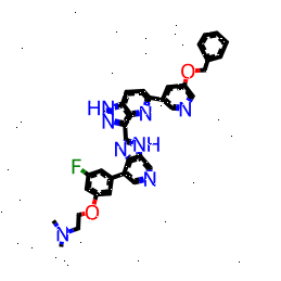 CN(C)CCOc1cc(F)cc(-c2cncc3[nH]c(-c4n[nH]c5ccc(-c6cncc(OCc7ccccc7)c6)nc45)nc23)c1